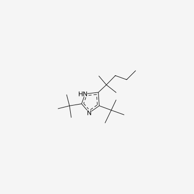 CCCC(C)(C)c1[nH]c(C(C)(C)C)nc1C(C)(C)C